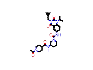 CC(=O)N1CCC(C(=O)NC2CCCN(C(=O)Nc3ccc4c(c3)c(=O)n(CC3CC3)c(=O)n4C(C)C)C2)CC1